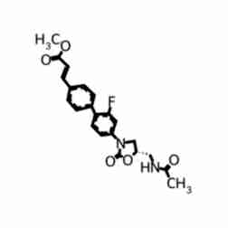 COC(=O)/C=C/c1ccc(-c2ccc(N3C[C@H](CNC(C)=O)OC3=O)cc2F)cc1